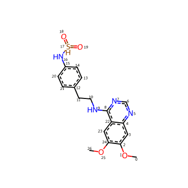 COc1cc2ncnc(NCCc3ccc(N[SH](=O)=O)cc3)c2cc1OC